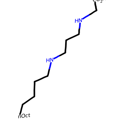 CCCCCCCCCCCCNCCCNCC(=O)O